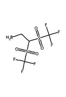 BCC(S(=O)(=O)C(F)(F)F)S(=O)(=O)C(F)(F)F